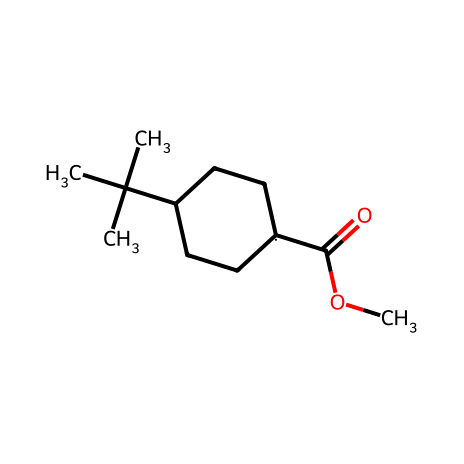 COC(=O)[C]1CCC(C(C)(C)C)CC1